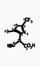 CC(C)(C)N(C(=O)O)c1nc(C(F)(F)F)sc1I